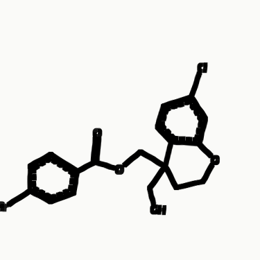 O=C(OCC1(CO)CCOc2cc(Cl)ccc21)c1ccc(Br)cc1